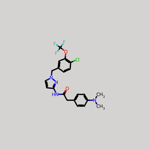 CN(C)c1ccc(CC(=O)Nc2ccn(Cc3ccc(Cl)c(OC(F)(F)F)c3)n2)cc1